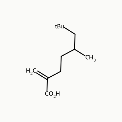 C=C(CCC(C)CC(C)(C)C)C(=O)O